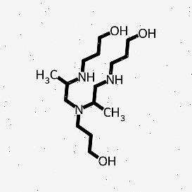 CC(CN(CCCO)C(C)CNCCCO)NCCCO